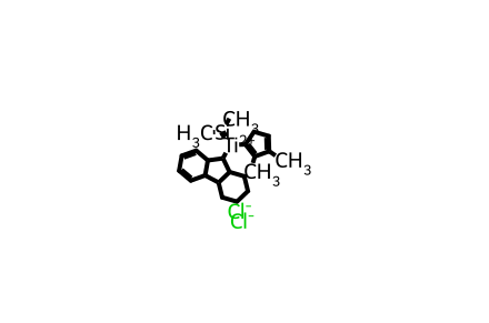 CC1=CC[C]([Ti+2]([CH]2C3C=CC=CC3C3CCCCC32)=[Si](C)C)=C1C.[Cl-].[Cl-]